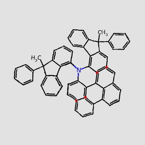 CC1(c2ccccc2)c2ccccc2-c2c(N(c3ccccc3-c3cccc4cccc(-c5ccccc5)c34)c3cccc4c3-c3ccccc3C4(C)c3ccccc3)cccc21